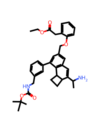 CCOC(=O)Cc1ccccc1OCc1cc2c(c(-c3cccc(CNC(=O)OC(C)(C)C)c3)c1)C1CCC1C(C(C)N)=C2